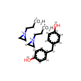 O=C(O)CCN1CC1.O=C(O)CCN1CC1.Oc1ccc(Cc2ccc(O)cc2)cc1